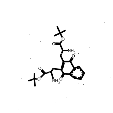 CC(C)(C)OC(=O)C(N)CC1=C(CC(N)C(=O)OC(C)(C)C)C(=O)c2ccccc2C1=O